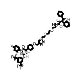 O=C(Nc1cc(C(F)(F)F)cc(C(F)(F)F)c1)N[C@@H](C(=O)Nc1ccc(F)cc1F)c1ccc(OCc2cn(CCOCCOCCNC(=O)C(=O)c3c(-c4ccccc4)[nH]c4ccccc34)nn2)cc1